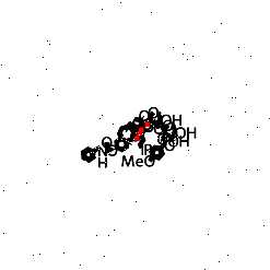 COc1ccc(C(=O)OC2C(OC3C(O)COC(O[C@H]4C[C@@]56C7C/C=C8/C[C@@H](OC(=O)NCc9ccccc9)CC[C@]8(C)C(CC[C@]5(C)[C@@]4(O)[C@H](C)C(=O)CCC(C)C)CC76)C3OC(C)=O)OCC(O)C2O)cc1